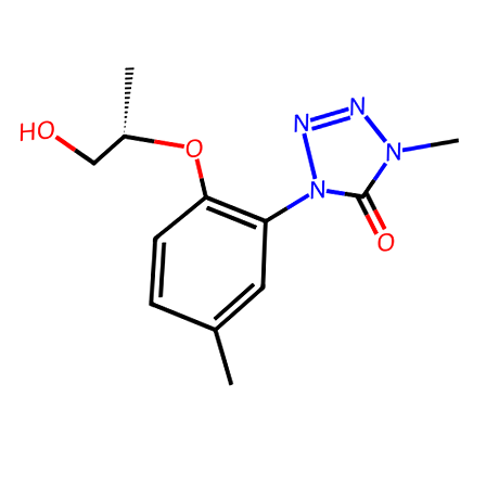 Cc1ccc(O[C@@H](C)CO)c(-n2nnn(C)c2=O)c1